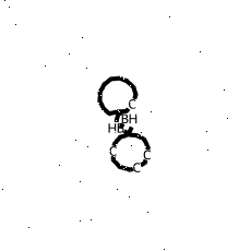 CC1(BBC2(C)CCCCCCCCCCCC2)CCCCCCCCCCCC1